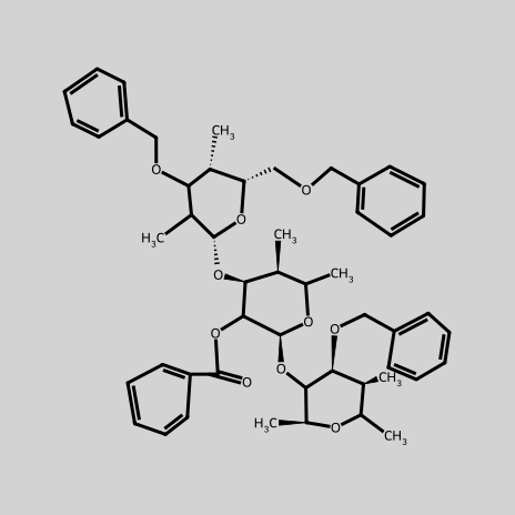 CC1C(OCc2ccccc2)[C@H](C)[C@H](COCc2ccccc2)O[C@@H]1O[C@@H]1C(OC(=O)c2ccccc2)[C@H](OC2[C@H](C)OC(C)[C@H](C)[C@@H]2OCc2ccccc2)OC(C)[C@@H]1C